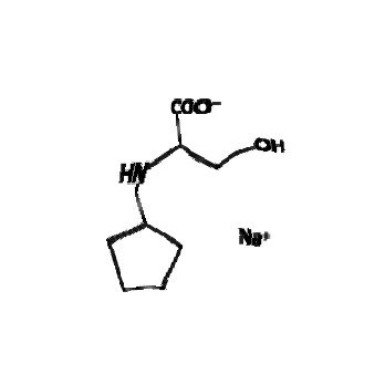 O=C([O-])C(CO)NC1CCCC1.[Na+]